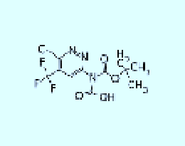 CC(C)(C)OC(=O)N(C(=O)O)c1cc(C(F)(F)F)c(Cl)nn1